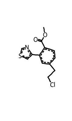 COC(=O)c1ccc(CCCl)cc1-c1cscn1